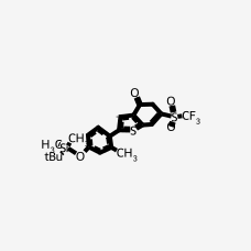 Cc1cc(O[Si](C)(C)C(C)(C)C)ccc1-c1[c]c2c(s1)C=C(S(=O)(=O)C(F)(F)F)CC2=O